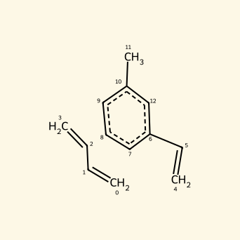 C=CC=C.C=Cc1cccc(C)c1